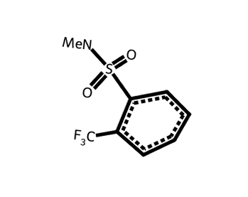 [CH2-][NH2+]S(=O)(=O)c1ccccc1C(F)(F)F